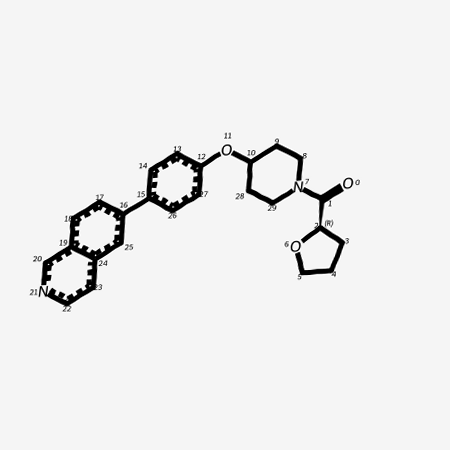 O=C([C@H]1CCCO1)N1CCC(Oc2ccc(-c3ccc4cnccc4c3)cc2)CC1